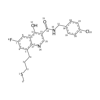 CSCCCc1cc(F)cc2c(O)c(C(=O)NCc3ccc(Cl)cc3)cnc12